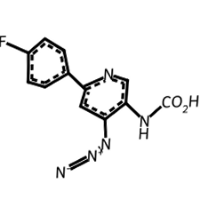 [N-]=[N+]=Nc1cc(-c2ccc(F)cc2)ncc1NC(=O)O